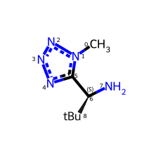 Cn1nnnc1[C@@H](N)C(C)(C)C